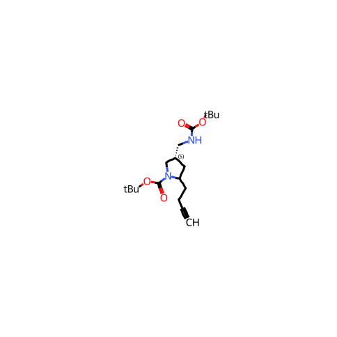 C#CCCC1C[C@@H](CNC(=O)OC(C)(C)C)CN1C(=O)OC(C)(C)C